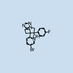 OC(Cn1cncn1)(c1ccc(F)cc1)C1(c2ccc(Br)cn2)CCC1